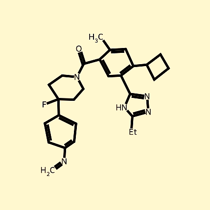 C=Nc1ccc(C2(F)CCN(C(=O)c3cc(-c4nnc(CC)[nH]4)c(C4CCC4)cc3C)CC2)cc1